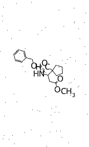 COC(=O)CC(NC(=O)OCc1ccccc1)C1(C)CCCC1